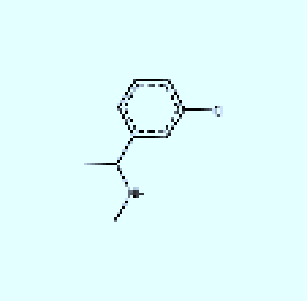 CNC(C)c1cccc(Cl)c1